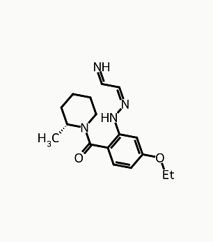 CCOc1ccc(C(=O)N2CCCC[C@H]2C)c(N/N=C\C=N)c1